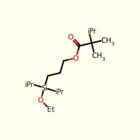 CCO[Si](CCCOC(=O)C(C)(C)C(C)C)(C(C)C)C(C)C